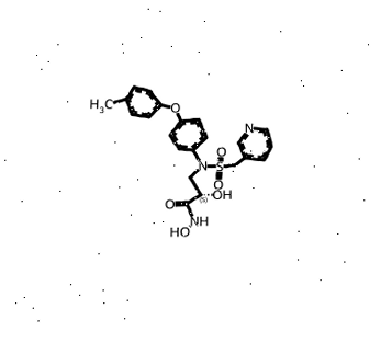 Cc1ccc(Oc2ccc(N(C[C@H](O)C(=O)NO)S(=O)(=O)Cc3cccnc3)cc2)cc1